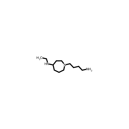 CCNC1CCCN(CCCCN)CC1